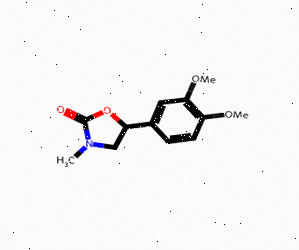 COc1ccc(C2CN(C)C(=O)O2)cc1OC